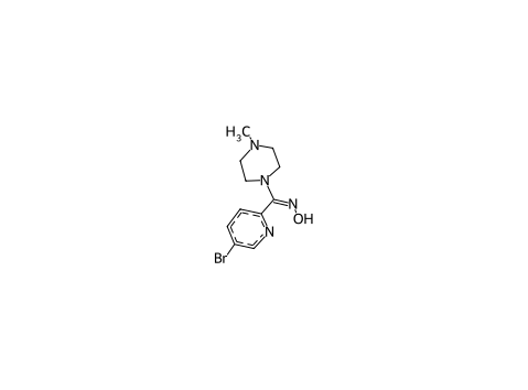 CN1CCN(C(=NO)c2ccc(Br)cn2)CC1